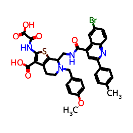 COc1ccc(CN2CCc3c(sc(NC(=O)C(=O)O)c3C(=O)O)C2CNC(=O)c2cc(-c3ccc(C)cc3)nc3ccc(Br)cc23)cc1